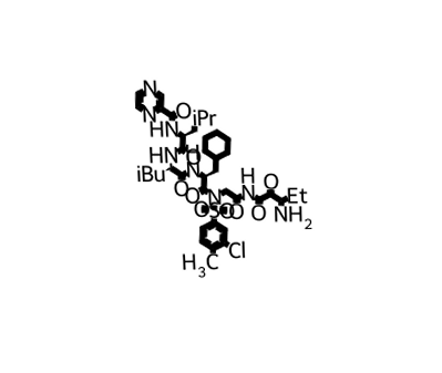 CCC(N)C(=O)C(=O)NC(=O)CN(C(=O)[C@H](CC1CCCCC1)NC(=O)[C@@H](NC(=O)[C@H](CC(C)C)NC(=O)c1cnccn1)[C@@H](C)CC)S(=O)(=O)c1ccc(C)c(Cl)c1